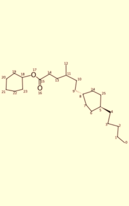 CCCCC[C@H]1CC[C@H](CCC(C)CCC(=O)OC2CCCCC2)CC1